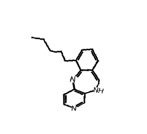 CCCCCc1cccc2c1=Nc1ccncc1NC=2